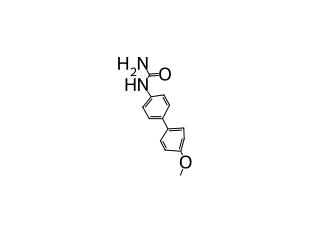 COc1ccc(-c2ccc(NC(N)=O)cc2)cc1